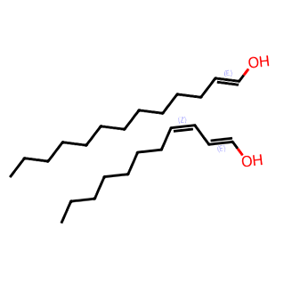 CCCCCCC/C=C\C=C\O.CCCCCCCCCCC/C=C/O